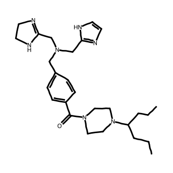 CCCC(CCC)N1CCN(C(=O)c2ccc(CN(CC3=NCCN3)Cc3ncc[nH]3)cc2)CC1